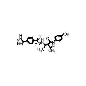 CC1=NN(c2ccc(C(C)(C)C)cc2)C(=O)/C1=C(/C)NNC(=O)c1ccc(-c2nnn[nH]2)cc1